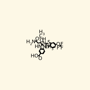 CCOC(CC(N)=O)C1(Nc2nc3ccc(OC(F)(F)F)cc3s2)Nc2cc(C(=O)O)ccc2N1C